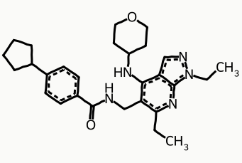 CCc1nc2c(cnn2CC)c(NC2CCOCC2)c1CNC(=O)c1ccc(C2CCCC2)cc1